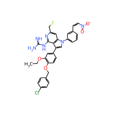 CCOc1cc(-c2cn(-c3cccc(/C=C\[N+](=O)[O-])c3)c3cc(CF)nc(NC(=N)N)c23)ccc1OCc1ccc(Cl)cc1